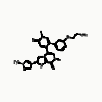 COCCOc1cccc(-c2cn(C)c(=O)cc2-c2cn(C)c(=O)c3[nH]c(-c4cnn(C(F)(F)F)c4)cc23)c1